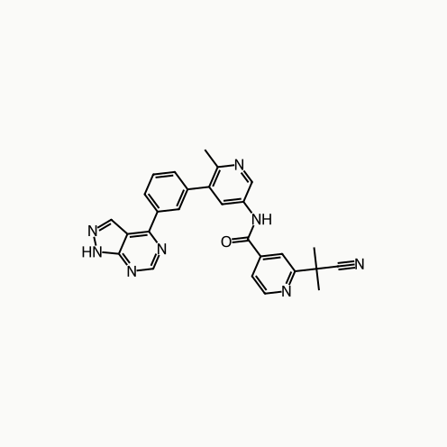 Cc1ncc(NC(=O)c2ccnc(C(C)(C)C#N)c2)cc1-c1cccc(-c2ncnc3[nH]ncc23)c1